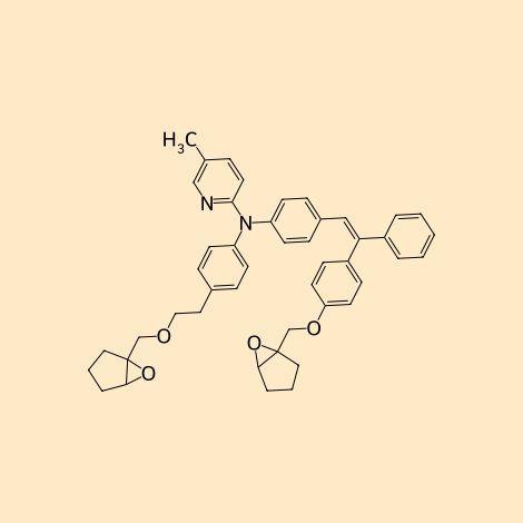 Cc1ccc(N(c2ccc(C=C(c3ccccc3)c3ccc(OCC45CCCC4O5)cc3)cc2)c2ccc(CCOCC34CCCC3O4)cc2)nc1